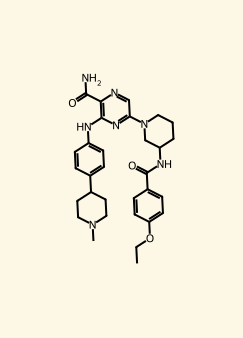 CCOc1ccc(C(=O)NC2CCCN(c3cnc(C(N)=O)c(Nc4ccc(C5CCN(C)CC5)cc4)n3)C2)cc1